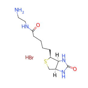 Br.NCCNC(=O)CCCC[C@@H]1SC[C@@H]2NC(=O)N[C@@H]21